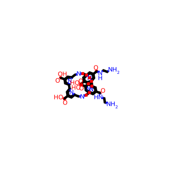 NCCNC(=O)c1cc2nc(c1)-c1cc(C(=O)NCCN)cc(n1)CN1Cc3cc(C(=O)O)cc(n3)-c3cc(C(=O)O)cc(n3)CN(Cc3cc(C(=O)O)cc(n3)-c3cc(C(=O)O)cc(n3)C1)C2